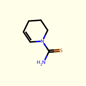 NC(=S)N1C=CCCC1